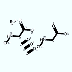 C=O.C=O.C=O.O=C([O-])CNCl.O=C([O-])CNCl.[Ru+2]